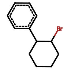 BrC1CCCC[C]1c1ccccc1